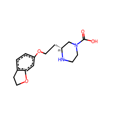 O=C(O)N1CCN[C@H](CCOc2ccc3c(c2)OCC3)C1